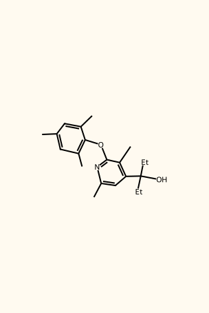 CCC(O)(CC)c1cc(C)nc(Oc2c(C)cc(C)cc2C)c1C